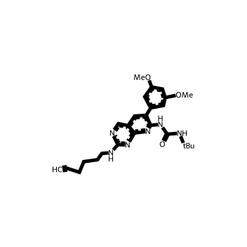 C#CCCCCNc1ncc2cc(-c3cc(OC)cc(OC)c3)c(NC(=O)NC(C)(C)C)nc2n1